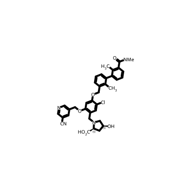 CNC(=O)c1cccc(-c2cccc(COc3cc(OCc4cncc(C#N)c4)c(CN4C[C@@H](O)C[C@H]4C(=O)O)cc3Cl)c2C)c1C